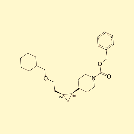 O=C(OCc1ccccc1)N1CCC([C@H]2C[C@H]2CCOCC2CCCCC2)CC1